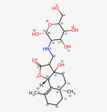 CC1=C2[C@@H]3OC(=O)C(CNC4C(O)C(O)C(CO)O[C@H]4O)C3(O)CC[C@@]2(C)CCC1